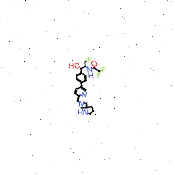 O=C(N[C@H](CF)[C@H](O)c1ccc(-c2ccc(CN3CC4(CCCN4)C3)nc2)cc1)C(F)F